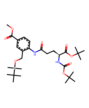 COC(=O)c1ccc(NC(=O)CC[C@H](NC(=O)OC(C)(C)C)C(=O)OC(C)(C)C)c(CO[Si](C)(C)C(C)(C)C)c1